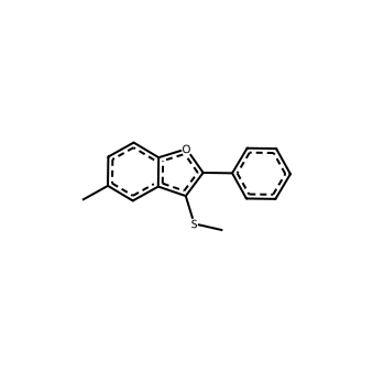 CSc1c(-c2ccccc2)oc2ccc(C)cc12